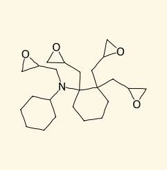 C1CCC(N(CC2CO2)C2(CC3CO3)CCCCC2(CC2CO2)CC2CO2)CC1